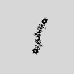 O=C(Nc1nnc(CCS(=O)(=O)CCc2nnc(NC(=O)Oc3ccccc3)s2)s1)Oc1ccccc1